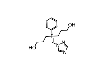 OCCC[PH](CCCO)(Cn1cncn1)c1ccccc1